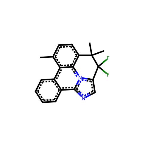 Cc1ccc2c3c1c1ccccc1c1ncc(n13)C(F)(F)C2(C)C